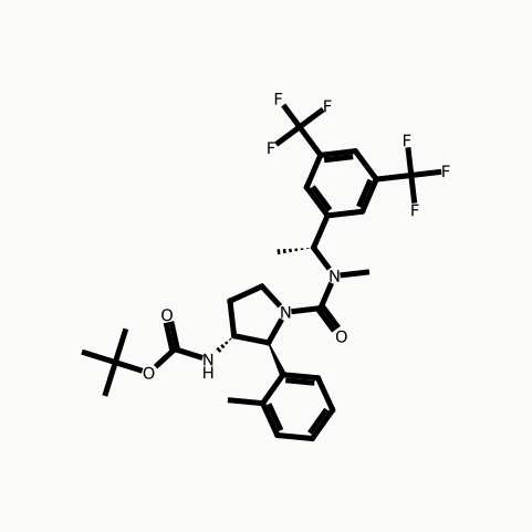 Cc1ccccc1[C@H]1[C@H](NC(=O)OC(C)(C)C)CCN1C(=O)N(C)[C@H](C)c1cc(C(F)(F)F)cc(C(F)(F)F)c1